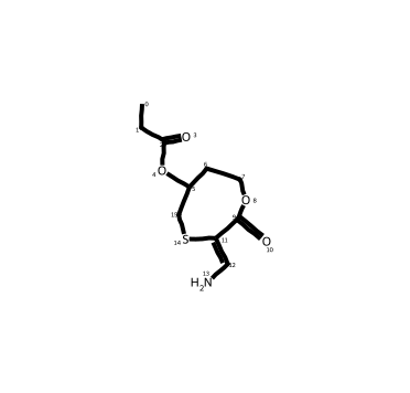 CCC(=O)OC1CCOC(=O)C(=CN)SC1